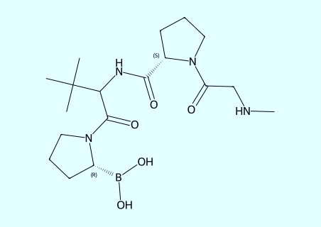 CNCC(=O)N1CCC[C@H]1C(=O)NC(C(=O)N1CCC[C@H]1B(O)O)C(C)(C)C